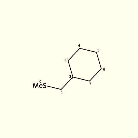 CSC[C]1CCCCC1